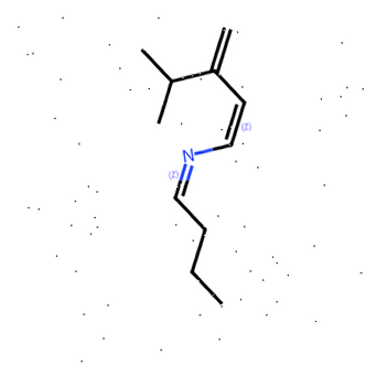 C=C(/C=C\N=C/CCC)C(C)C